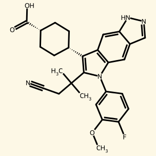 COc1cc(-n2c(C(C)(C)CC#N)c([C@H]3CC[C@@H](C(=O)O)CC3)c3cc4[nH]ncc4cc32)ccc1F